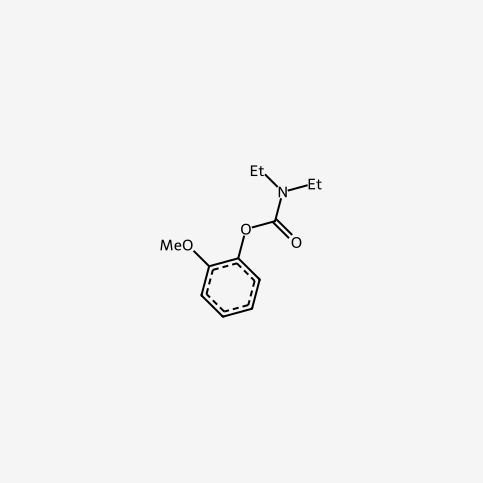 CCN(CC)C(=O)Oc1ccccc1OC